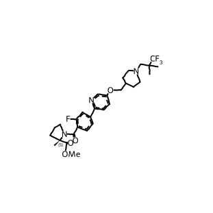 COC(=O)[C@]1(C)CCCN1C(=O)c1ccc(-c2ccc(OCC3CCN(CC(C)(C)C(F)(F)F)CC3)cn2)cc1F